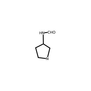 O=CNC1CC[N]C1